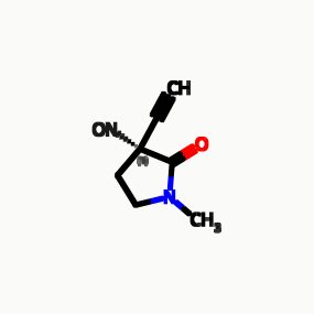 C#C[C@]1(N=O)CCN(C)C1=O